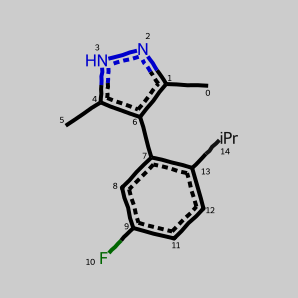 Cc1n[nH]c(C)c1-c1cc(F)ccc1C(C)C